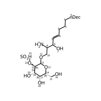 CCCCCCCCCCCCCC=CC(O)C(N)COC1O[C@H](CO)[C@H](O)[C@H](O)[C@H]1OS(=O)(=O)O